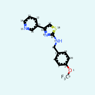 FC(F)(F)Oc1ccc(CNc2nc(-c3cccnc3)cs2)cc1